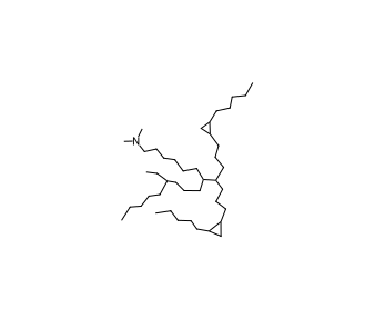 CCCCCC(CC)CCCC(CCCCCCN(C)C)C(CCCC1CC1CCCCC)CCCC1CC1CCCCC